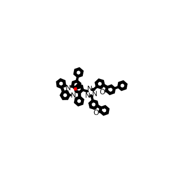 c1ccc(-c2cccc(-n3c4ccccc4c4cccc(-n5c6ccccc6c6c(-c7nc(-c8ccc9oc%10ccccc%10c9c8)nc(-c8cccc9c8oc8ccc(-c%10ccccc%10)cc89)n7)cccc65)c43)c2)cc1